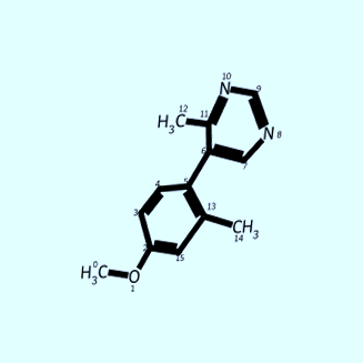 COc1ccc(-c2cncnc2C)c(C)c1